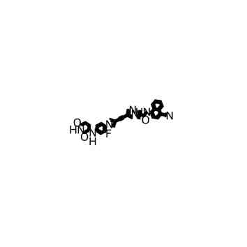 CC(C)(C(=O)Nc1ccc(C#N)c2ccccc12)n1cc(C#CC2CN(c3ccc(NC4CCC(=O)NC4=O)cc3F)C2)cn1